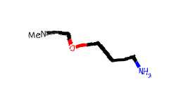 CNCOCCCN